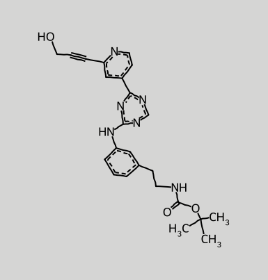 CC(C)(C)OC(=O)NCCc1cccc(Nc2ncnc(-c3ccnc(C#CCO)c3)n2)c1